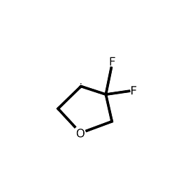 FC1(F)[CH]COC1